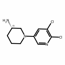 N[C@@H]1[CH]N(c2cnc(Cl)c(Cl)c2)CCC1